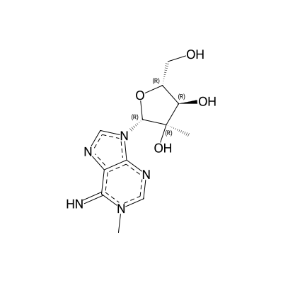 Cn1cnc2c(ncn2[C@@H]2O[C@H](CO)[C@@H](O)[C@@]2(C)O)c1=N